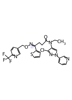 CCN(C(=O)CC/C(=N/OCc1ccc(C(F)(F)F)nc1)c1cccs1)c1cn(-c2cccnc2)nc1Cl